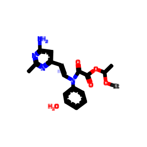 CCOC(C)OC(=O)C(=O)N(/C=C/c1cc(N)nc(C)n1)c1ccccc1.O